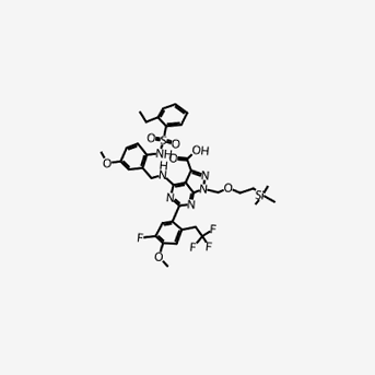 CCc1ccccc1S(=O)(=O)Nc1ccc(OC)cc1CNc1nc(-c2cc(F)c(OC)cc2CC(F)(F)F)nc2c1c(C(=O)O)nn2COCC[Si](C)(C)C